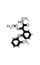 CNC(=O)/C(=N\OC)c1ccccc1Oc1ccccc1C